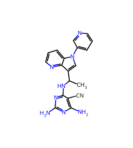 CC(Nc1nc(N)nc(N)c1C#N)c1cn(-c2cccnc2)c2cccnc12